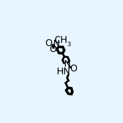 Cn1c(=O)oc2cc(C3CCN(C(=O)NCCCCc4ccccc4)CC3)ccc21